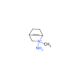 C[N+]1(N)CC2C=CC1CC2